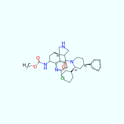 COC(=O)NC1CC[C@]2(CNCC2C(=O)N2CC[C@@H](c3ccccc3)C[C@H]2C2CCCCC2)c2ccc(Cl)nc21